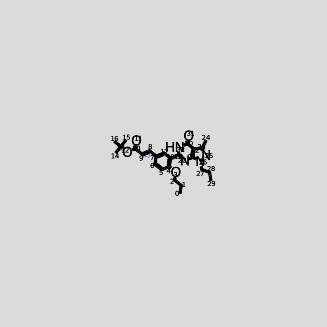 CCCOc1ccc(/C=C/C(=O)OC(C)(C)C)cc1-c1nc2c(c(C)nn2CCC)c(=O)[nH]1